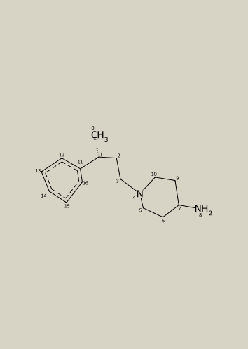 C[C@H](CCN1CCC(N)CC1)c1ccccc1